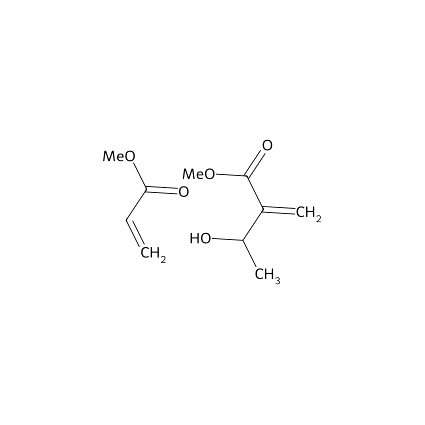 C=C(C(=O)OC)C(C)O.C=CC(=O)OC